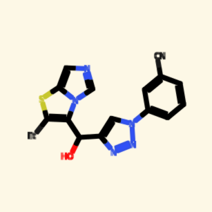 CCc1sc2cncn2c1C(O)c1cn(-c2cccc(C#N)c2)nn1